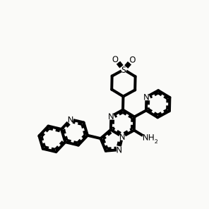 Nc1c(-c2ccccn2)c(C2CCS(=O)(=O)CC2)nc2c(-c3cnc4ccccc4c3)cnn12